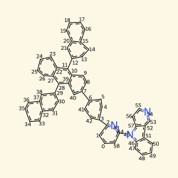 c1cc(-c2ccc(-c3ccc4c(-c5ccc6ccccc6c5)c5ccccc5c(-c5ccc6ccccc6c5)c4c3)cc2)nc(-n2c3ccccc3c3cnccc32)c1